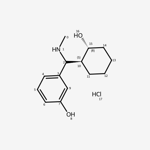 CNC(c1cccc(O)c1)[C@@H]1CCCC[C@H]1O.Cl